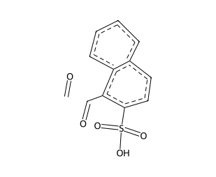 C=O.O=Cc1c(S(=O)(=O)O)ccc2ccccc12